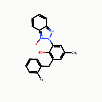 Cc1cc(Cc2ccccc2C)c(O)c(-n2nc3ccccc3[n+]2[O-])c1